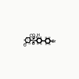 O=C1CCC(C(=O)O)C(S(=O)(=O)c2ccc(-c3ccc(Br)cc3)cc2)C1